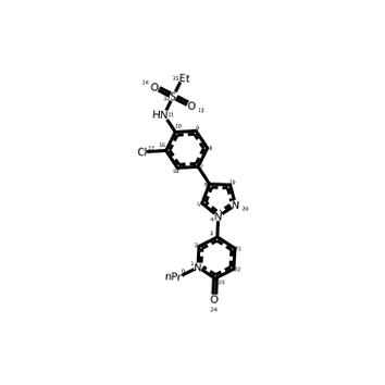 CCCn1cc(-n2cc(-c3ccc(NS(=O)(=O)CC)c(Cl)c3)cn2)ccc1=O